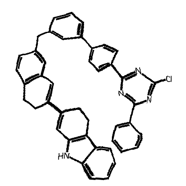 Clc1nc(-c2ccccc2)nc(-c2ccc(-c3cccc(Cc4ccc5c(c4)C=C(C4=Cc6[nH]c7ccccc7c6CC4)CC5)c3)cc2)n1